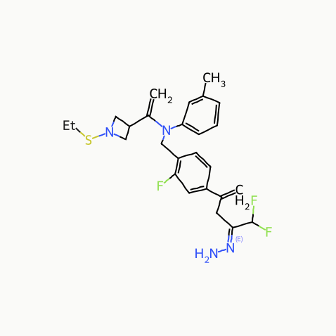 C=C(C/C(=N\N)C(F)F)c1ccc(CN(C(=C)C2CN(SCC)C2)c2cccc(C)c2)c(F)c1